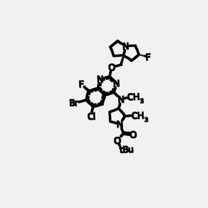 CC1C(N(C)c2nc(OC[C@@]34CCCN3C[C@H](F)C4)nc3c(F)c(Br)c(Cl)cc23)CCN1C(=O)OC(C)(C)C